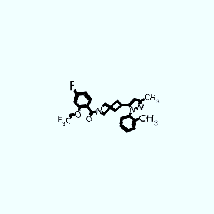 Cc1cc(C2CC3(C2)CN(C(=O)c2ccc(F)cc2OCC(F)(F)F)C3)n(-c2ccccc2C)n1